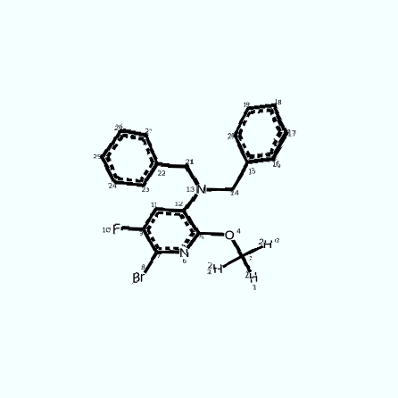 [2H]C([2H])([2H])Oc1nc(Br)c(F)cc1N(Cc1ccccc1)Cc1ccccc1